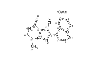 COc1ccc2nccc(-c3nn4c(c3Cl)C(=O)NC[C@H]4C)c2c1